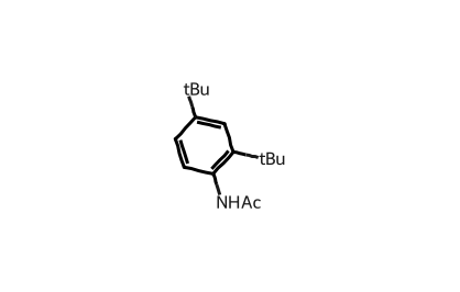 CC(=O)Nc1ccc(C(C)(C)C)cc1C(C)(C)C